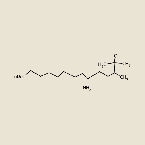 CCCCCCCCCCCCCCCCCCCCC(C)C(C)(C)Cl.N